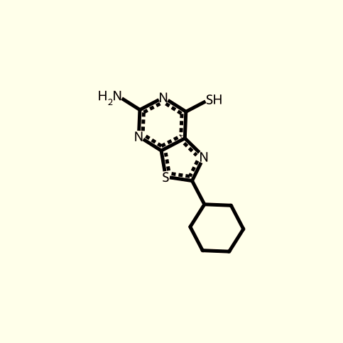 Nc1nc(S)c2nc(C3CCCCC3)sc2n1